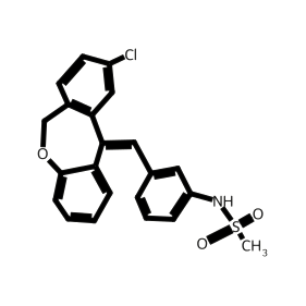 CS(=O)(=O)Nc1cccc(/C=C2/c3cc(Cl)ccc3COc3ccccc32)c1